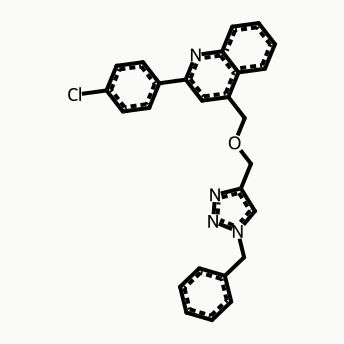 Clc1ccc(-c2cc(COCc3cn(Cc4ccccc4)nn3)c3ccccc3n2)cc1